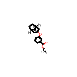 CCOC(=O)c1cccc(O[C@@H]2C[C@@H]3CC[C@@H](C3)C2)c1